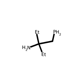 CCC(N)(CC)CP